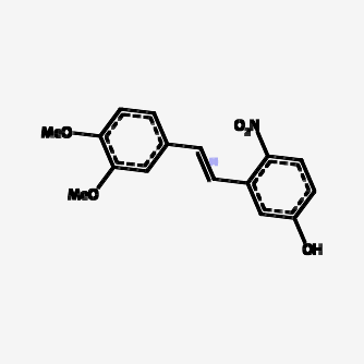 COc1ccc(/C=C/c2cc(O)ccc2[N+](=O)[O-])cc1OC